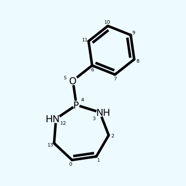 C1=CCNP(Oc2ccccc2)NC1